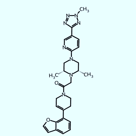 C[C@@H]1CN(c2ccc(-c3nnn(C)n3)cn2)C[C@H](C)N1CC(=O)N1CC=C(c2cccc3ccoc23)CC1